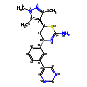 Cc1nn(C)c(C)c1[C@@H]1C[C@@H](c2cccc(-c3cncnc3)c2)N=C(N)S1